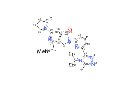 CCC(CC)n1c(C)nnc1-c1cccc(N2Cc3c(cc(N4CCC[C@@H]4C)nc3CNC)C2=O)n1